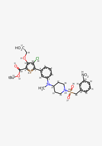 CN(c1cccc(-c2sc(C(=O)OC(C)(C)C)c(OCC(=O)O)c2Cl)c1)C1CCN(S(=O)(=O)Cc2cccc([N+](=O)[O-])c2)CC1